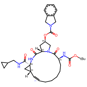 CC(C)(C)OC(=O)N[C@H]1CCCCC/C=C\[C@@H]2C[C@@]2(C(=O)NCC2CC2)NC(=O)[C@@H]2C[C@@H](OC(=O)N3Cc4ccccc4C3)CN2C1=O